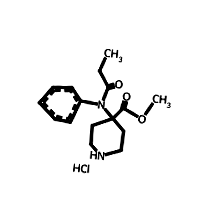 CCC(=O)N(c1ccccc1)C1(C(=O)OC)CCNCC1.Cl